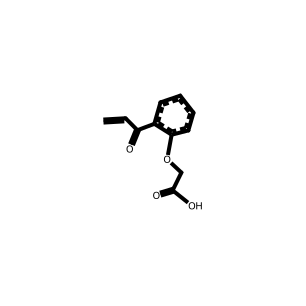 C=CC(=O)c1ccccc1OCC(=O)O